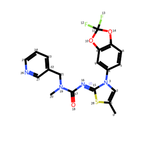 Cc1cn(-c2ccc3c(c2)OC(F)(F)O3)/c(=N/C(=O)N(C)Cc2cccnc2)s1